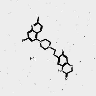 Cc1ccc2c(N3CCN(CCc4cc5c(cc4F)OCC(=O)N5)CC3)cc(F)cc2n1.Cl